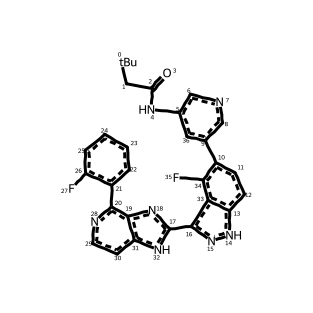 CC(C)(C)CC(=O)Nc1cncc(-c2ccc3[nH]nc(-c4nc5c(-c6ccccc6F)nccc5[nH]4)c3c2F)c1